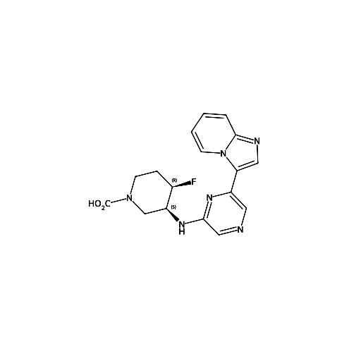 O=C(O)N1CC[C@@H](F)[C@@H](Nc2cncc(-c3cnc4ccccn34)n2)C1